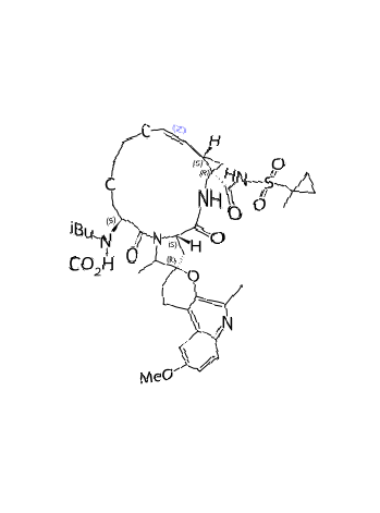 CCC(C)N(C(=O)O)[C@H]1CCCCC/C=C\[C@@H]2C[C@@]2(C(=O)NS(=O)(=O)C2(C)CC2)NC(=O)[C@@H]2C[C@]3(CCc4c(c(C)nc5ccc(OC)cc45)O3)C(C)N2C1=O